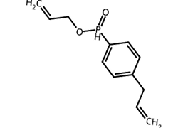 C=CCO[PH](=O)c1ccc(CC=C)cc1